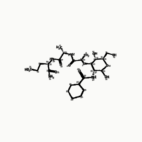 C[C@H](NC(=O)[C@@H](C)O[C@H]1[C@H](O)[C@@H](CO)OC(O)[C@@H]1NC(=O)C1CCCCC1)C(=O)N[C@H](CCC(=O)O)C(N)=O